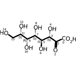 O=C(O)C(=O)[C@@H](O)[C@@H](O)[C@@H](O)[C@H](O)[C@@H](O)CO